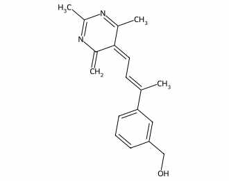 C=c1nc(C)nc(C)/c1=C/C=C(\C)c1cccc(CO)c1